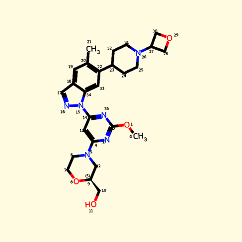 COc1nc(N2CCO[C@H](CO)C2)cc(-n2ncc3cc(C)c(C4CCN(C5COC5)CC4)cc32)n1